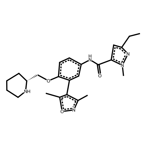 CCc1cc(C(=O)Nc2ccc(OC[C@H]3CCCCN3)c(-c3c(C)noc3C)c2)n(C)n1